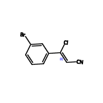 N#C/C=C(\Cl)c1cccc(Br)c1